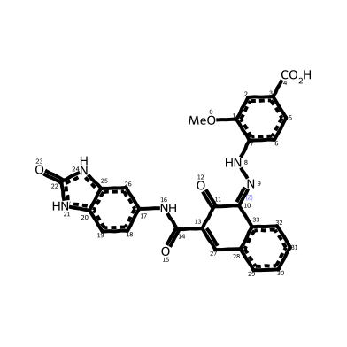 COc1cc(C(=O)O)ccc1N/N=C1\C(=O)C(C(=O)Nc2ccc3[nH]c(=O)[nH]c3c2)=Cc2ccccc21